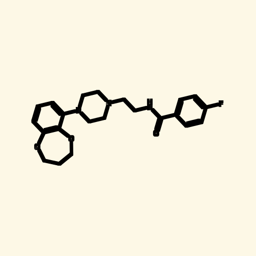 O=C(NCCN1CCN(c2cccc3c2OCCCO3)CC1)c1ccc(F)cc1